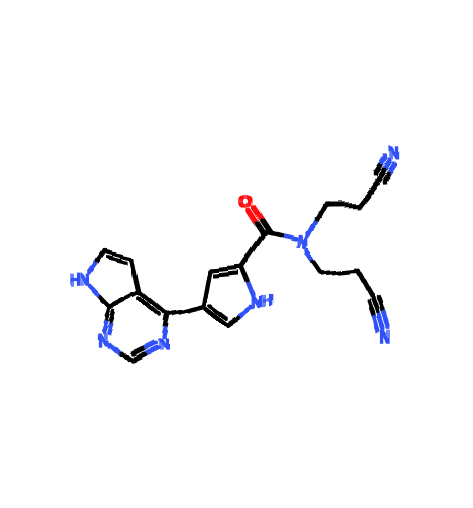 N#CCCN(CCC#N)C(=O)c1cc(-c2ncnc3[nH]ccc23)c[nH]1